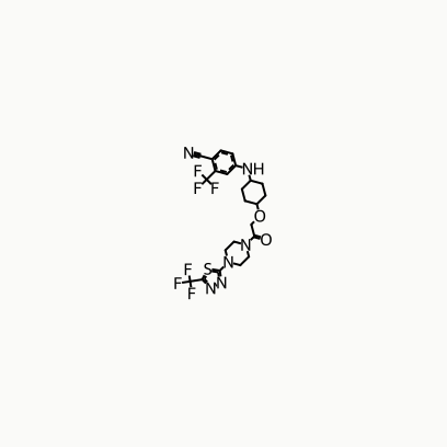 N#Cc1ccc(NC2CCC(OCC(=O)N3CCN(c4nnc(C(F)(F)F)s4)CC3)CC2)cc1C(F)(F)F